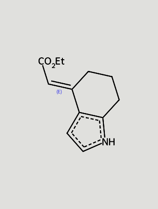 CCOC(=O)/C=C1\CCCc2[nH]ccc21